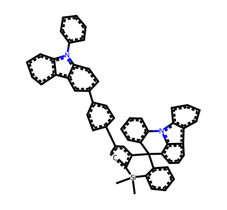 C[Si]1(C)c2ccccc2C2(c3ccccc3-n3c4ccccc4c4cccc2c43)c2cc(-c3ccc(-c4ccc5c(c4)c4ccccc4n5-c4ccccc4)cc3)ccc21